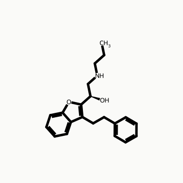 CCCNC[C@@H](O)c1oc2ccccc2c1CCc1ccccc1